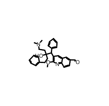 COc1nc2ccc(C=O)cc2cc1C(c1ccccc1)C(O)(CCc1ccccc1)CCN(C)C